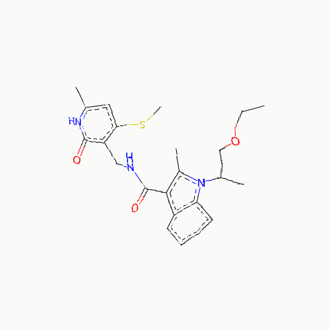 CCOCC(C)n1c(C)c(C(=O)NCc2c(SC)cc(C)[nH]c2=O)c2ccccc21